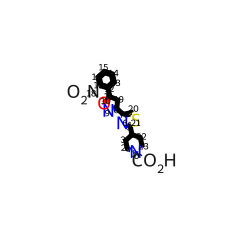 O=C(O)N1CCC(c2nc(C3=NOC(c4ccccc4[N+](=O)[O-])C3)cs2)CC1